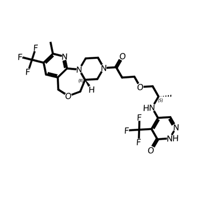 Cc1nc2c(cc1C(F)(F)F)COC[C@H]1CN(C(=O)CCOC[C@H](C)Nc3cn[nH]c(=O)c3C(F)(F)F)CCN21